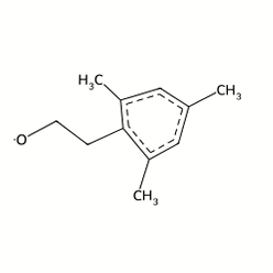 Cc1cc(C)c(CC[O])c(C)c1